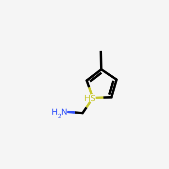 CC1=C[SH](CN)C=C1